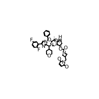 C[C@H](O)C(=O)N(C[C@@H]1CNC[C@H]1OC(=O)N1CC(CN2C(=O)C=CC2=O)C1)C(c1nc(-c2cc(F)ccc2F)cn1Cc1ccccc1)C1CCOCC1